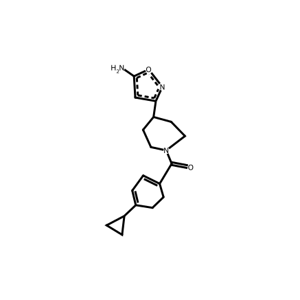 Nc1cc(C2CCN(C(=O)C3=CC=C(C4CC4)CC3)CC2)no1